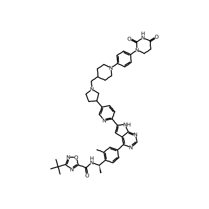 Cc1cc(-c2ncnc3[nH]c(-c4ccc(C5CCN(CC6CCN(c7ccc(N8CCC(=O)NC8=O)cc7)CC6)C5)cn4)cc23)ccc1[C@@H](C)NC(=O)c1nc(C(C)(C)C)no1